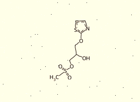 CS(=O)(=O)OCC(O)COc1nccs1